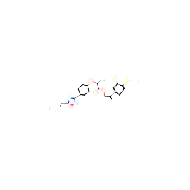 C=C(COC(=O)C(CC)Oc1ccc(-c2noc(C(C)C)n2)cc1)c1ccc(SC)c(F)c1